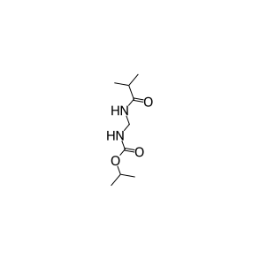 CC(C)OC(=O)NCNC(=O)C(C)C